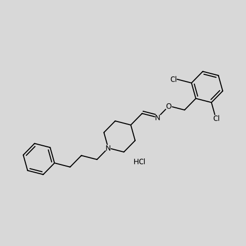 Cl.Clc1cccc(Cl)c1CON=CC1CCN(CCCc2ccccc2)CC1